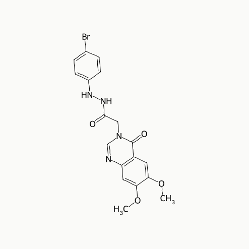 COc1cc2ncn(CC(=O)NNc3ccc(Br)cc3)c(=O)c2cc1OC